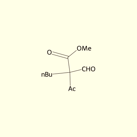 CCCCC(C=O)(C(C)=O)C(=O)OC